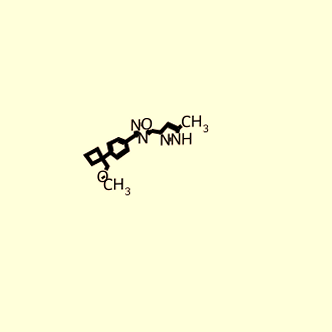 COCC1(c2ccc(-c3noc(-c4cc(C)[nH]n4)n3)cc2)CCC1